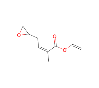 C=COC(=O)C(C)=CCC1CO1